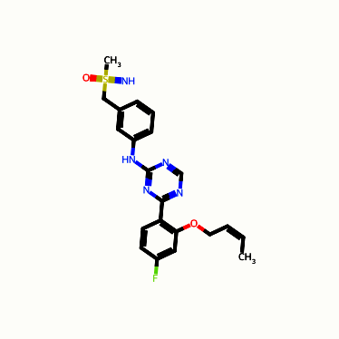 C/C=C\COc1cc(F)ccc1-c1ncnc(Nc2cccc(CS(C)(=N)=O)c2)n1